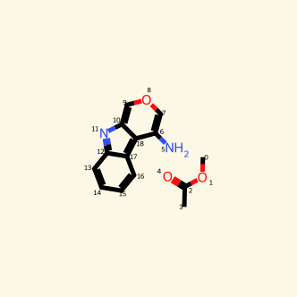 COC(C)=O.Nc1cocc2nc3ccccc3c1-2